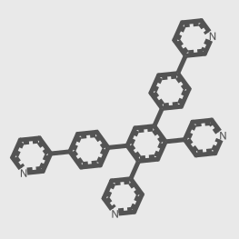 c1cncc(-c2ccc(-c3cc(-c4ccc(-c5cccnc5)cc4)c(-c4ccncc4)cc3-c3ccncc3)cc2)c1